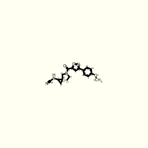 COc1ccc(-c2cc(C(=O)N3CC[C@@]4(CC4NC#N)C3)on2)cc1